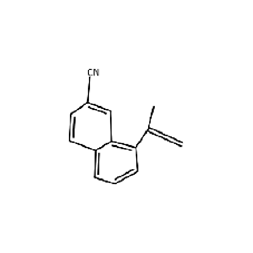 C=C(C)c1cccc2ccc(C#N)cc12